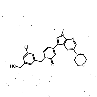 Cn1cc(-c2ccn(Cc3cc(Cl)cc(CO)c3)c(=O)c2)c2cc(N3CCOCC3)cnc21